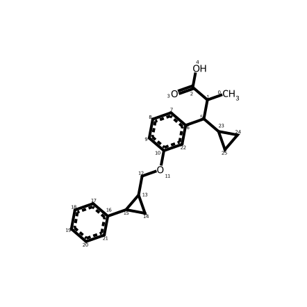 CC(C(=O)O)C(c1cccc(OCC2CC2c2ccccc2)c1)C1CC1